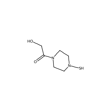 O=C(CO)N1CCN(S)CC1